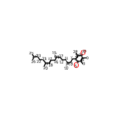 CC1=C(C)C(=O)C(CC[C@H](C)CCC[C@@H](C)CCCC(C)CCCC(C)C)=C(C)C1=O